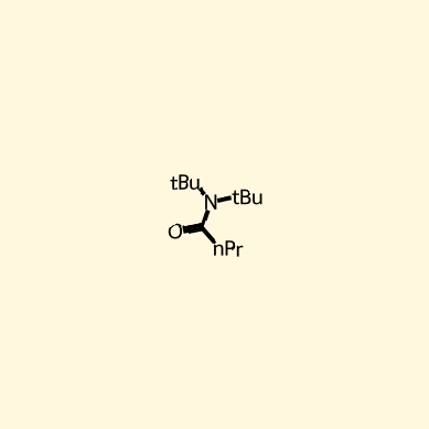 [CH2]CCC(=O)N(C(C)(C)C)C(C)(C)C